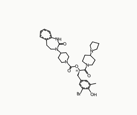 Cc1cc(C[C@@H](OC(=O)N2CCC(N3CCc4ccccc4NC3=O)CC2)C(=O)N2CCC(N3CCCC3)CC2)cc(Br)c1O